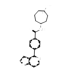 O=C(N[C@H]1CCC[C@@H](O)CC1)c1ccc(-c2nccc3occc23)cc1